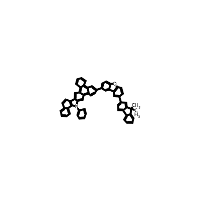 CC1(C)c2ccccc2-c2ccc(-c3ccc4oc5ccc(-c6ccc7c(c6)c6ccccc6c6cc8c9ccc%10ccccc%10c9n(-c9ccccc9)c8cc76)cc5c4c3)cc21